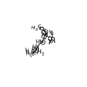 Cc1ccc(S(=O)(=O)n2cc(-c3cc(F)c4nccc(-c5cccnc5)c4c3)c3cc(C(=O)NCCCNC(=O)OC(C)(C)C)cnc32)cc1